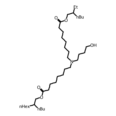 CCCCCCC(CCCC)COC(=O)CCCCCCCN(CCCCO)CCCCCCCC(=O)OCC(CC)CCCC